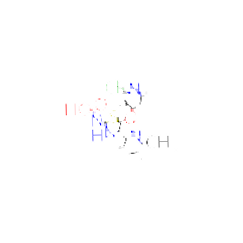 Cc1cccc(-c2nc(NC(=O)O)sc2Oc2ccnc(Cl)c2)n1